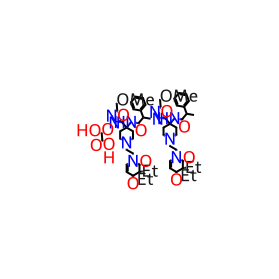 CCC1(CC)C(=O)C=CN(CCN2CCC(NC(=O)C(C)c3ccccc3)(c3nnc(COC)o3)CC2)C1=O.CCC1(CC)C(=O)C=CN(CCN2CCC(NC(=O)C(C)c3ccccc3)(c3nnc(COC)o3)CC2)C1=O.O=C(O)C(=O)O